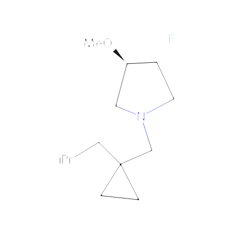 CO[C@@H]1CN(CC2(CC(C)C)CC2)C[C@H]1F